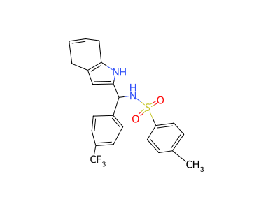 Cc1ccc(S(=O)(=O)NC(c2ccc(C(F)(F)F)cc2)c2cc3c([nH]2)CC=CC3)cc1